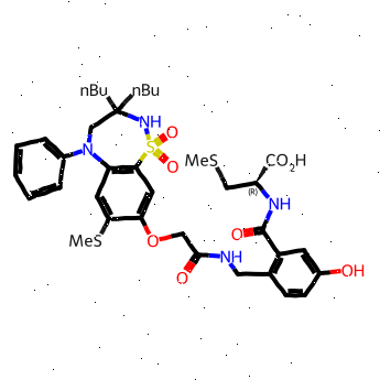 CCCCC1(CCCC)CN(c2ccccc2)c2cc(SC)c(OCC(=O)NCc3ccc(O)cc3C(=O)N[C@@H](CSC)C(=O)O)cc2S(=O)(=O)N1